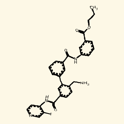 CCCOC(=O)c1cccc(NC(=O)c2cccc(-c3cc(C(=O)Nc4ccncc4F)ccc3CN)c2)c1